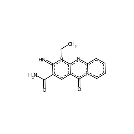 CCn1c(=N)c(C(N)=O)cc2c(=O)n3ccccc3nc21